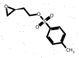 Cc1ccc(S(=O)(=O)OCC[C@H]2CO2)cc1